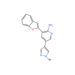 CC(C)n1cc(-c2cnc(N)c(-c3cc4ccccc4o3)c2)cn1